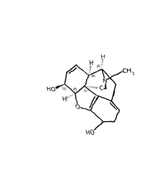 CN1CC[C@]23C4=C5O[C@H]2[C@@H](O)C=C[C@H]3[C@H]1CC4=CC[C]5O